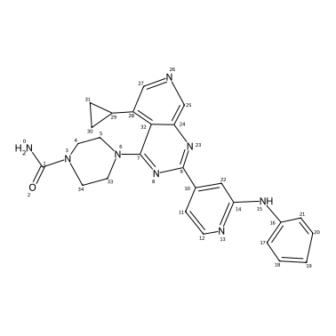 NC(=O)N1CCN(c2nc(-c3ccnc(Nc4ccccc4)c3)nc3cncc(C4CC4)c23)CC1